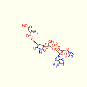 Cc1nccn1P(=O)(O)C[C@H]1O[C@@H](n2cnc3c(N)ncnc32)CC1OP(=O)(O)OC[C@H]1O[C@@H](n2cc(C#CCOC(=O)C(N)CC(=O)O)c(=O)[nH]c2=O)CC1O